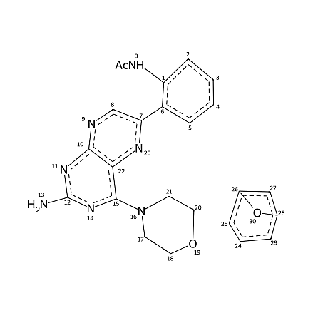 CC(=O)Nc1ccccc1-c1cnc2nc(N)nc(N3CCOCC3)c2n1.c1cc2cc(c1)O2